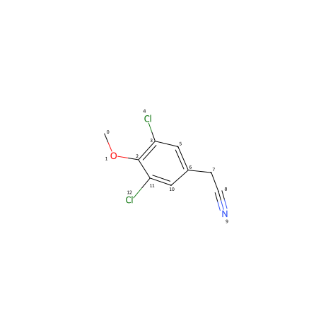 COc1c(Cl)cc(CC#N)cc1Cl